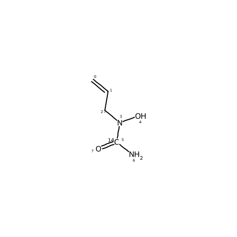 C=C[CH]N(O)[14C](N)=O